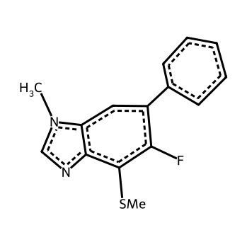 CSc1c(F)c(-c2ccccc2)cc2c1ncn2C